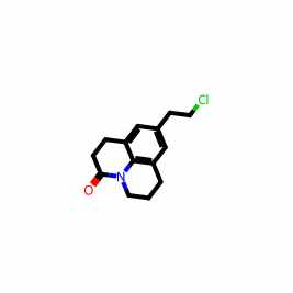 O=C1CCc2cc(CCCl)cc3c2N1CCC3